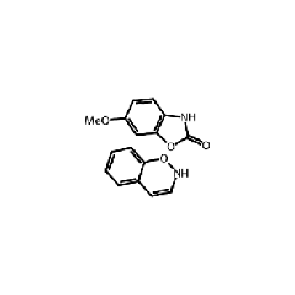 C1=Cc2ccccc2ON1.COc1ccc2[nH]c(=O)oc2c1